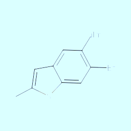 CCc1cc2sc(C)cc2cc1C(C)C